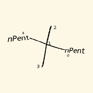 CCCCCC(C)(C)CCCCC